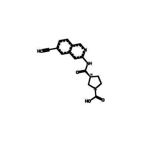 C#Cc1ccc2cnc(NC(=O)[C@H]3CCN(C(=O)O)C3)cc2c1